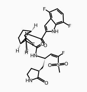 CS(=O)(=O)/C(F)=C\[C@H](C[C@@H]1CCNC1=O)NC(=O)[C@H]1[C@H]2CC[C@H](CC2(F)F)N1C(=O)c1cc2c(F)ccc(F)c2[nH]1